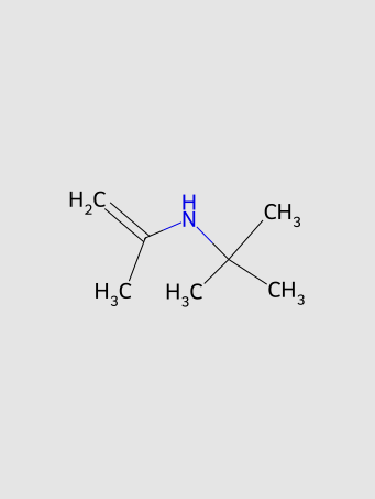 C=C(C)NC(C)(C)C